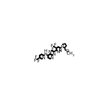 COCC1CCCN1c1cc(C(F)(F)F)c(-c2cnc3c(Nc4ccc(C(F)(F)F)cn4)ccnc3n2)nn1